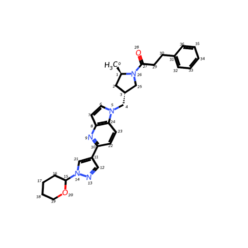 C[C@@H]1C[C@@H](Cn2ccc3nc(-c4cnn(C5CCCCO5)c4)ccc32)CN1C(=O)CCc1ccccc1